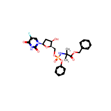 CC(C)(NP(=O)(OC[C@H]1O[C@@H](n2cc(F)c(=O)[nH]c2=O)C[C@H]1O)Oc1ccccc1)C(=O)OCc1ccccc1